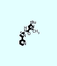 Cn1nc(C(C)(C)C)cc1C(=O)Nc1nc(-c2cccnc2)cs1